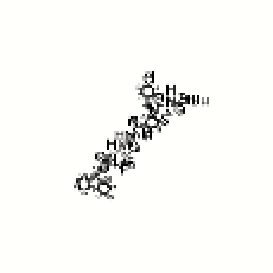 CC(C)(C)OC(=O)N[C@H]1CSc2cc(F)c(C(=O)NNC(=O)NC3CN(C(=O)OCC4c5ccccc5-c5ccccc54)CC(F)(F)C3)cc2N(Cc2ccc(Cl)cc2)C1=O